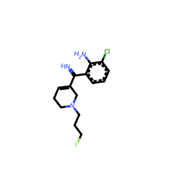 N=C(C1=CCCN(CCCF)C1)c1cccc(Cl)c1N